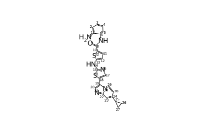 Nc1ccccc1NC(=O)c1ccc(Nc2ncc(-c3cnc4cc(C5CC5)ccn34)s2)s1